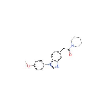 COc1ccc(-n2cnc3cc(CC(=O)N4CCCCC4)ccc32)cc1